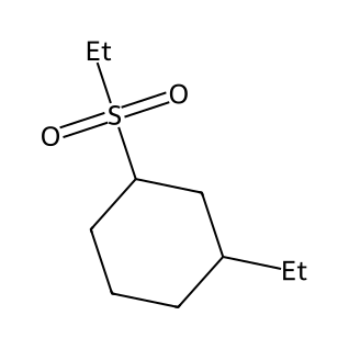 CCC1CCCC(S(=O)(=O)CC)C1